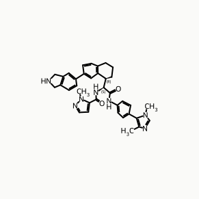 Cc1ncn(C)c1-c1ccc(NC(=O)[C@@H](NC(=O)c2ccnn2C)[C@@H]2CCCc3ccc(-c4ccc5c(c4)CNC5)cc32)cc1